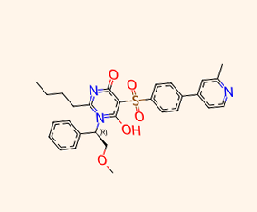 CCCCc1nc(=O)c(S(=O)(=O)c2ccc(-c3ccnc(C)c3)cc2)c(O)n1[C@@H](COC)c1ccccc1